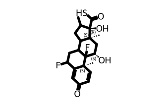 CC1CC2C3CC(F)C4=CC(=O)C=C[C@]4(C)C3(F)[C@@H](O)C[C@]2(C)[C@@]1(O)C(=O)S